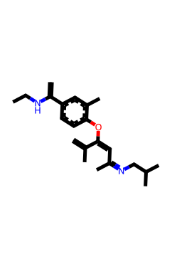 C=C(C)/C(=C\C(C)=N/CC(C)C)Oc1ccc(C(=C)NCC)cc1C